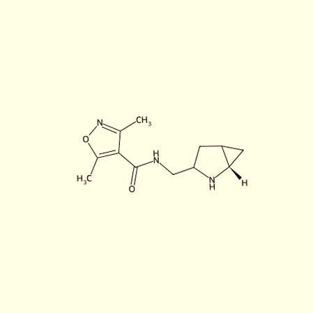 Cc1noc(C)c1C(=O)NCC1CC2C[C@@H]2N1